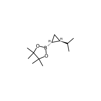 CC(C)[C@@H]1C[C@H]1B1OC(C)(C)C(C)(C)O1